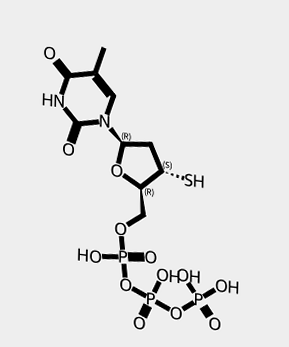 Cc1cn([C@H]2C[C@H](S)[C@@H](COP(=O)(O)OP(=O)(O)OP(=O)(O)O)O2)c(=O)[nH]c1=O